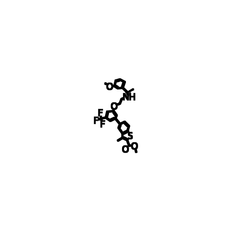 COC(=O)c1sc2ccc(-c3cc(OCCN[C@H](C)c4cccc(OC)c4)cc(C(F)(F)F)c3)cc2c1C